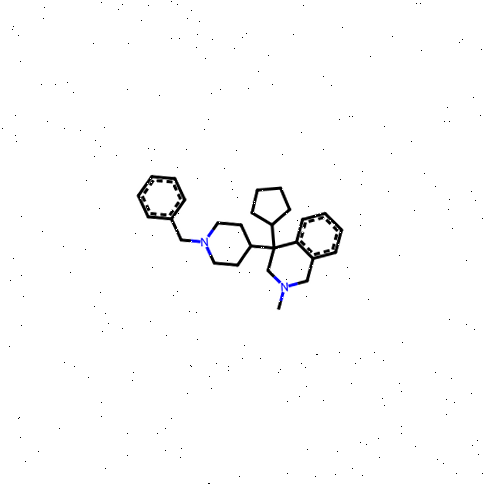 CN1Cc2ccccc2C(C2CCCC2)(C2CCN(Cc3ccccc3)CC2)C1